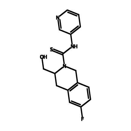 OCC1Cc2cc(F)ccc2CN1C(=S)Nc1cccnc1